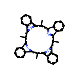 Cc1c2nc(c(C)c3[nH]c(c(C)c4nc(c(C)c5[nH]c1c1ccccc51)-c1ccccc1-4)c1ccccc31)-c1ccccc1-2